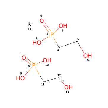 O=P(O)(O)CCO.O=P(O)(O)CCO.[K]